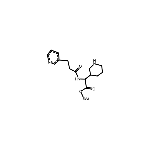 CC(C)(C)OC(=O)C(NC(=O)CCc1cccnc1)C1CCCNC1